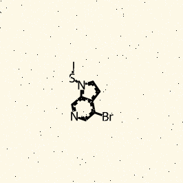 Brc1cncc2c1ccn2SI